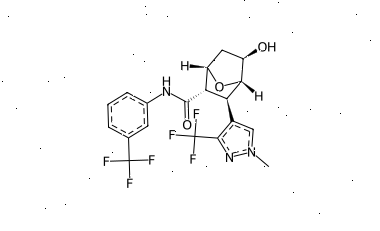 Cn1cc([C@@H]2[C@@H]3O[C@@H](C[C@H]3O)[C@H]2C(=O)Nc2cccc(C(F)(F)F)c2)c(C(F)(F)F)n1